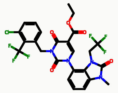 CCOC(=O)c1cn(-c2cccc3c2n(CC(F)(F)F)c(=O)n3C)c(=O)n(Cc2cccc(Cl)c2C(F)(F)F)c1=O